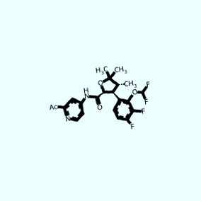 CC(=O)c1cc(NC(=O)[C@H]2OC(C)(C)[C@H](C)[C@H]2c2ccc(F)c(F)c2OC(F)F)ccn1